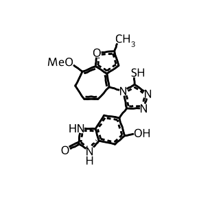 COC1=c2oc(C)cc2=C(n2c(S)nnc2-c2cc3[nH]c(=O)[nH]c3cc2O)C=CC1